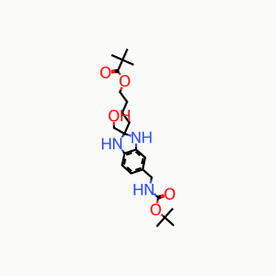 CC(C)(C)OC(=O)NCc1ccc2c(c1)NC(CO)(CCCCOC(=O)C(C)(C)C)N2